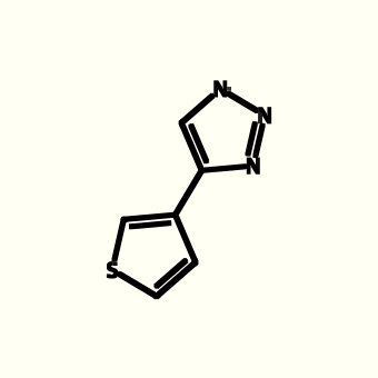 C1=C(c2ccsc2)N=N[N]1